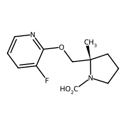 C[C@@]1(COc2ncccc2F)CCCN1C(=O)O